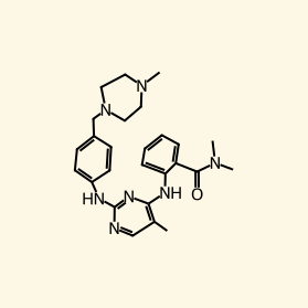 Cc1cnc(Nc2ccc(CN3CCN(C)CC3)cc2)nc1Nc1ccccc1C(=O)N(C)C